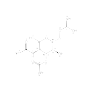 CCCC(=O)N[C@H]1C(O)O[C@H](COC(O)CCC)[C@@H](O)[C@@H]1OC(=O)CCC